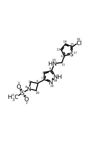 CS(=O)(=O)N1CC(c2cc(NCc3ccc(Cl)s3)[nH]n2)C1